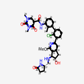 COc1nc(-c2cccc(-c3cccc(NC(=O)c4cn(C)c(=O)n(C)c4=O)c3C)c2Cl)cc2c1C(NC[C@@H]1CCC(=O)N1)[C@@H](O)C2